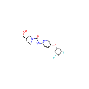 O=C(Nc1ccc(Oc2cc(F)cc(F)c2)cn1)N1CC[C@@H](CO)C1